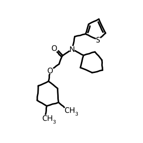 CC1CCC(OCC(=O)N(Cc2cccs2)C2CCCCC2)CC1C